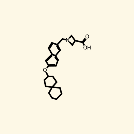 O=C(O)C1CN(Cc2ccc3cc(OC4CCC5(CCCCC5)CC4)ccc3c2)C1